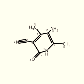 Cc1[nH]c(=O)c(C#N)c(C)c1N